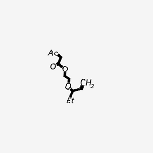 C=CC(CC)OCCOC(=O)CC(C)=O